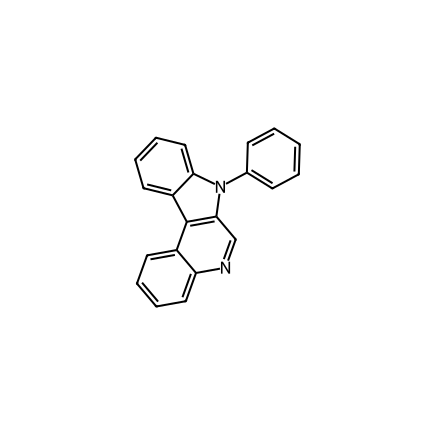 c1ccc(-n2c3ccccc3c3c4ccccc4ncc32)cc1